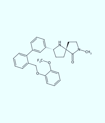 CN1CC[C@]2(CC[C@H](c3cccc(-c4ccccc4COc4ccccc4OC(F)(F)F)c3)N2)C1=O